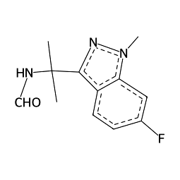 Cn1nc(C(C)(C)NC=O)c2ccc(F)cc21